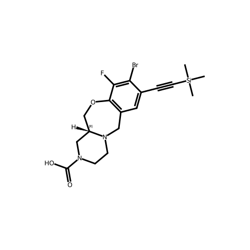 C[Si](C)(C)C#Cc1cc2c(c(F)c1Br)OC[C@H]1CN(C(=O)O)CCN1C2